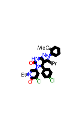 CCn1cc(N2C(=O)Nc3nn(-c4ccccc4OC)c(C(C)C)c3C2c2ccc(Cl)cc2)cc(Cl)c1=O